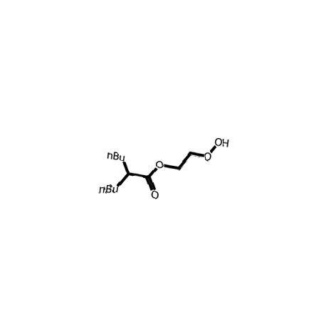 CCCCC(CCCC)C(=O)OCCOO